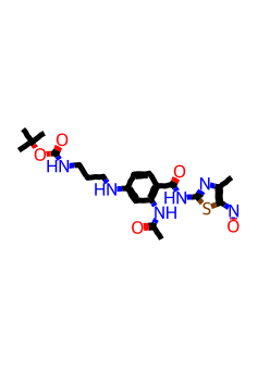 CC(=O)Nc1cc(NCCCNC(=O)OC(C)(C)C)ccc1C(=O)Nc1nc(C)c(N=O)s1